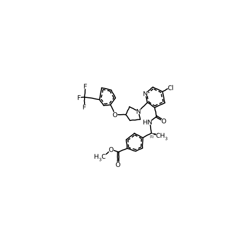 COC(=O)c1ccc([C@H](C)NC(=O)c2cc(Cl)cnc2N2CCC(Oc3cccc(C(F)(F)F)c3)C2)cc1